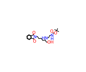 CC(C)(C)OC(=O)NCCNC(CO)CCCCN1C(=O)c2ccccc2C1=O